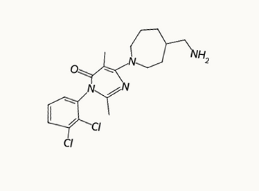 Cc1c(N2CCCC(CN)CC2)nc(C)n(-c2cccc(Cl)c2Cl)c1=O